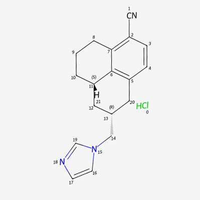 Cl.N#Cc1ccc2c3c1CCC[C@H]3C[C@@H](Cn1ccnc1)C2